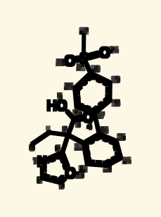 CCC(C(=O)O)(c1ncco1)c1ccccc1-c1ccc(S(C)(=O)=O)cc1